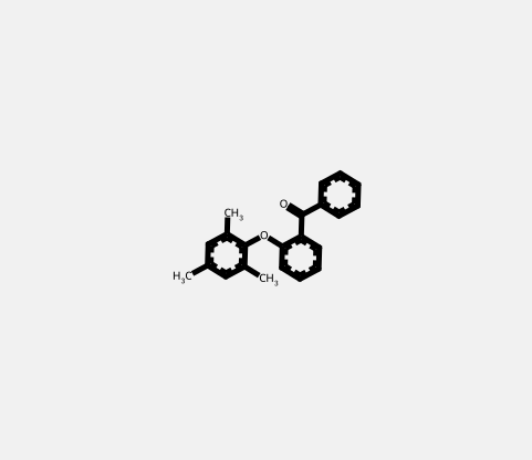 Cc1cc(C)c(Oc2ccccc2C(=O)c2ccccc2)c(C)c1